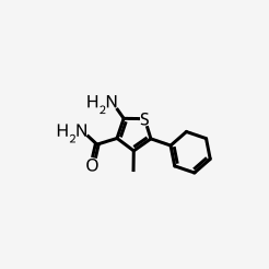 Cc1c(C2=CC=CCC2)sc(N)c1C(N)=O